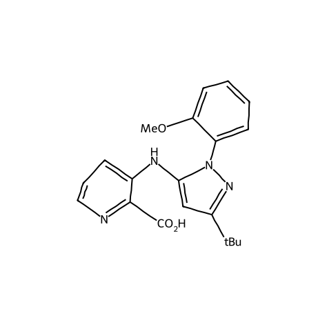 COc1ccccc1-n1nc(C(C)(C)C)cc1Nc1cccnc1C(=O)O